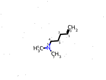 C=CC[CH]CN(C)C